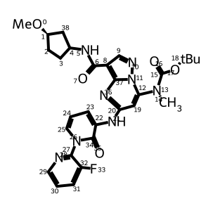 CO[C@@H]1CCC(NC(=O)c2cnn3c(N(C)C(=O)OC(C)(C)C)cc(Nc4cccn(-c5ncccc5F)c4=O)nc23)C1